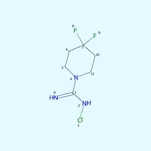 N=C(NCl)N1CCC(F)(F)CC1